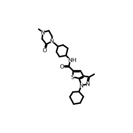 Cc1nn(C2CCCCC2)c2sc(C(=O)NC3CCC(N4CCN(C)CC4=O)CC3)cc12